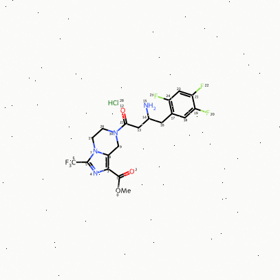 COC(=O)c1nc(C(F)(F)F)n2c1CN(C(=O)CC(N)Cc1cc(F)c(F)cc1F)CC2.Cl